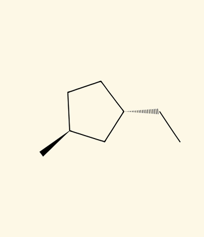 CC[C@H]1CC[C@H](C)C1